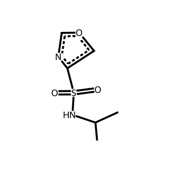 CC(C)NS(=O)(=O)c1cocn1